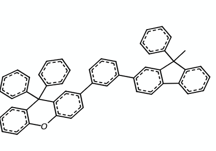 CC1(c2ccccc2)c2ccccc2-c2ccc(-c3cccc(-c4ccc5c(c4)C(c4ccccc4)(c4ccccc4)c4ccccc4O5)c3)cc21